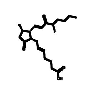 CCCC[C@@H](F)C(=O)C=C[C@H]1[C@H](C)CC(=O)[C@@H]1C/C=C/CCCC(=O)O